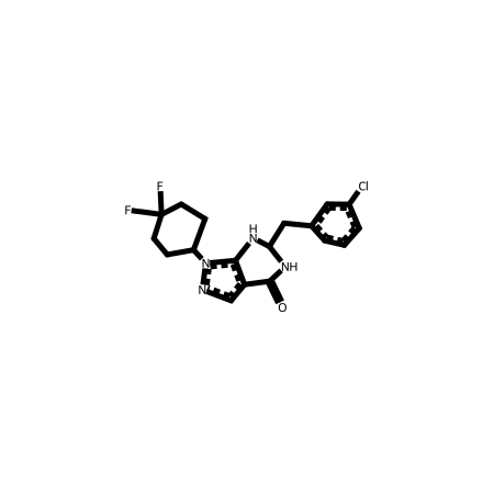 O=C1NC(Cc2cccc(Cl)c2)Nc2c1cnn2C1CCC(F)(F)CC1